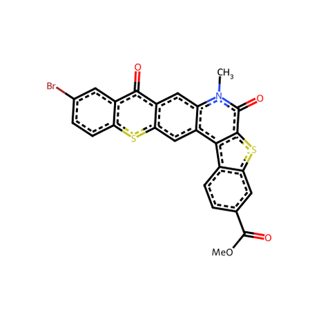 COC(=O)c1ccc2c(c1)sc1c(=O)n(C)c3cc4c(=O)c5cc(Br)ccc5sc4cc3c12